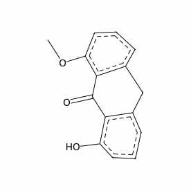 COc1cccc2c1C(=O)c1c(O)cccc1C2